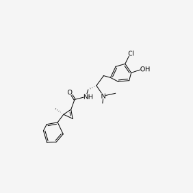 CN(C)[C@H](CNC(=O)C1=C[C@@]1(C)c1ccccc1)Cc1ccc(O)c(Cl)c1